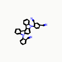 N#Cc1ccc(-n2c3ccccc3c3c4c5ccccc5n(-c5ccccc5C#N)c4ccc32)c(C#N)c1